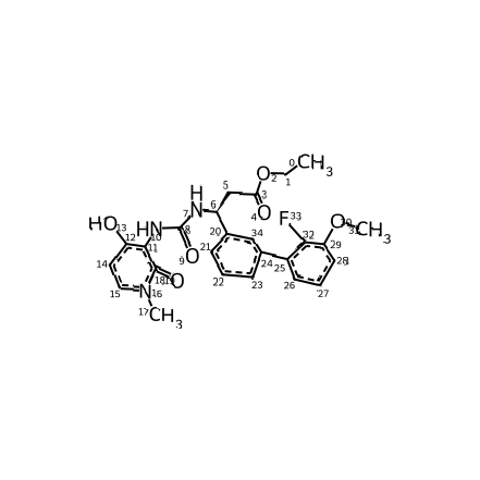 CCOC(=O)C[C@H](NC(=O)Nc1c(O)ccn(C)c1=O)c1cccc(-c2cccc(OC)c2F)c1